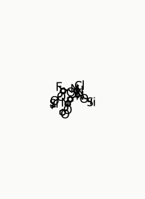 CC(C)(C)[Si](C)(C)OCCOc1cc(F)cc(COc2nc(Cl)nc3c2c(-c2ccc4ncc(OC5CCCCO5)cc4c2)cn3COCC[Si](C)(C)C)c1